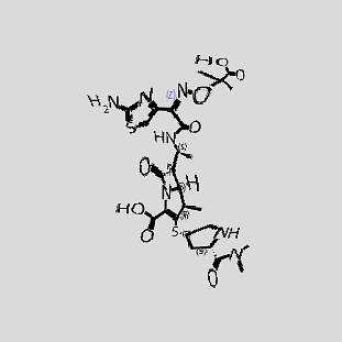 C[C@H](NC(=O)/C(=N\OC(C)(C)C(=O)O)c1csc(N)n1)[C@H]1C(=O)N2C(C(=O)O)=C(S[C@@H]3CN[C@H](C(=O)N(C)C)C3)[C@H](C)[C@H]12